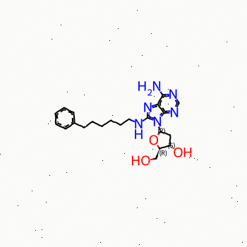 Nc1ncnc2c1nc(NCCCCCCc1ccccc1)n2[C@H]1C[C@H](O)[C@@H](CO)O1